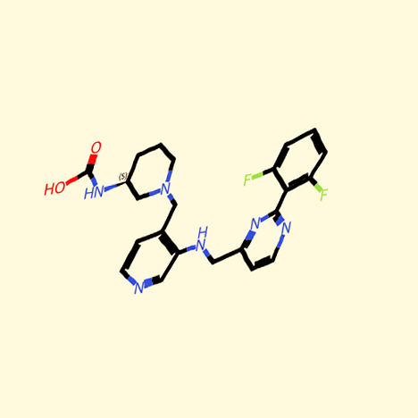 O=C(O)N[C@H]1CCCN(Cc2ccncc2NCc2ccnc(-c3c(F)cccc3F)n2)C1